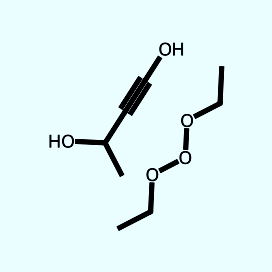 CC(O)C#CO.CCOOOCC